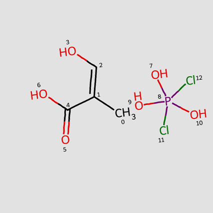 CC(=CO)C(=O)O.OP(O)(O)(Cl)Cl